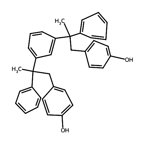 CC(Cc1ccc(O)cc1)(c1ccccc1)c1cccc(C(C)(Cc2ccc(O)cc2)c2ccccc2)c1